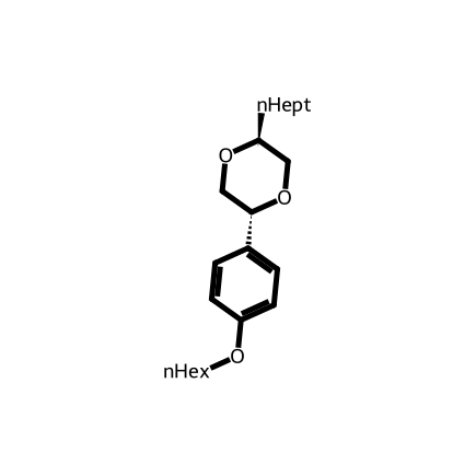 CCCCCCC[C@H]1CO[C@H](c2ccc(OCCCCCC)cc2)CO1